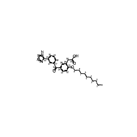 CCCCCCCCCCOc1ccc(C(=O)c2cccc(-c3nnn[nH]3)c2)cc1CC(=O)O